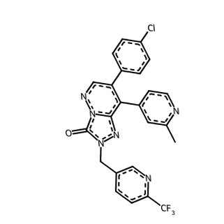 Cc1cc(-c2c(-c3ccc(Cl)cc3)cnn3c(=O)n(Cc4ccc(C(F)(F)F)nc4)nc23)ccn1